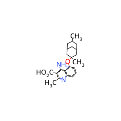 Cc1nc2cccc(OC3(C)CC4CC(C)CC(C4)C3)c2c(N)c1C(=O)O